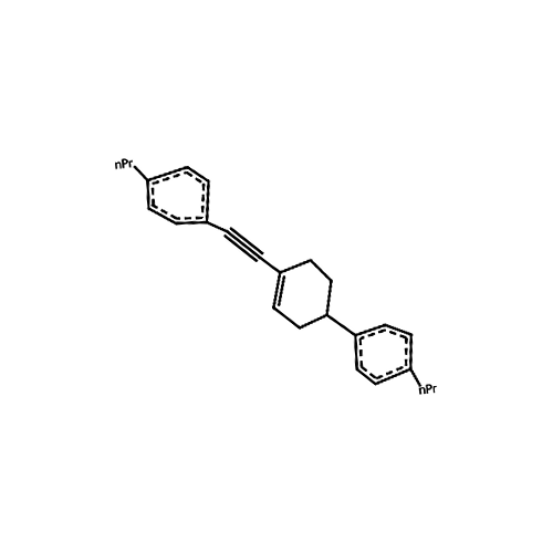 CCCc1ccc(C#CC2=CCC(c3ccc(CCC)cc3)CC2)cc1